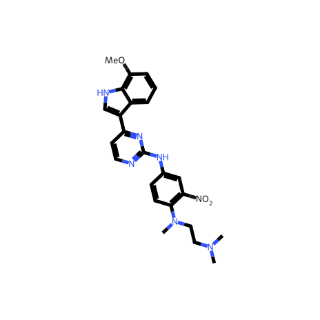 COc1cccc2c(-c3ccnc(Nc4ccc(N(C)CCN(C)C)c([N+](=O)[O-])c4)n3)c[nH]c12